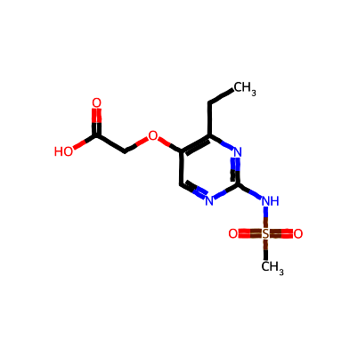 CCc1nc(NS(C)(=O)=O)ncc1OCC(=O)O